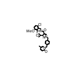 COc1ccc(Cl)c(CNC(=O)c2cn(Cc3ccc(Cn4cc(C)ccc4=O)cc3)nc2C2COC2)c1F